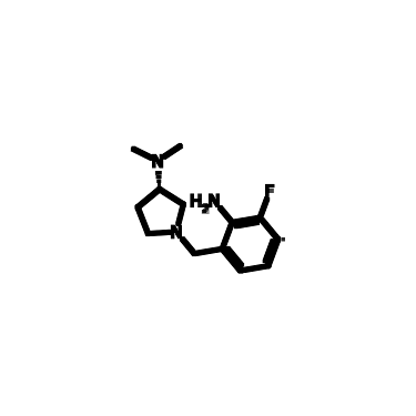 CN(C)[C@H]1CCN(Cc2cc[c]c(F)c2N)C1